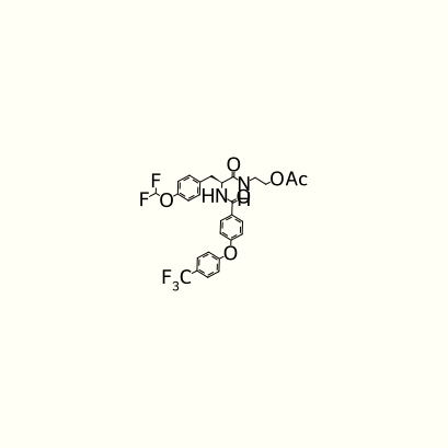 CC(=O)OCCNC(=O)[C@H](Cc1ccc(OC(F)F)cc1)NC(=O)c1ccc(Oc2ccc(C(F)(F)F)cc2)cc1